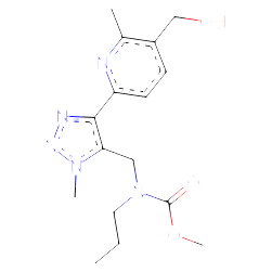 CCCN(Cc1c(-c2ccc(CO)c(C)n2)nnn1C)C(=O)OC